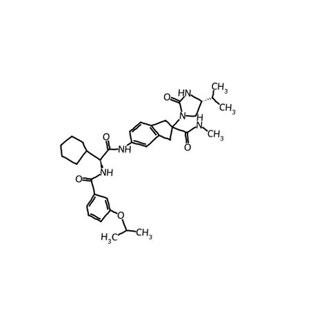 CNC(=O)C1(N2C[C@@H](C(C)C)NC2=O)Cc2ccc(NC(=O)[C@@H](NC(=O)c3cccc(OC(C)C)c3)C3CCCCC3)cc2C1